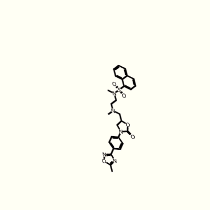 Cc1nc(-c2ccc(N3CC(CN(C)CCN(C)S(=O)(=O)c4cccc5ccccc45)OC3=O)cc2)no1